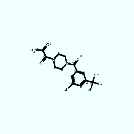 NC(=O)C(=O)N1CCN(C(=O)c2cc(F)cc(C(F)(F)F)c2)CC1